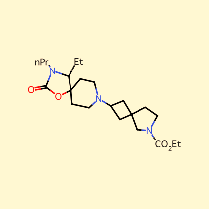 CCCN1C(=O)OC2(CCN(C3CC4(CCN(C(=O)OCC)C4)C3)CC2)C1CC